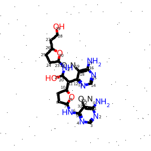 Nc1ncnc(NC2CCC(C(c3ncnc(N)c3[N+](=O)[O-])C(O)NC3CCC(CCO)O3)O2)c1[N+](=O)[O-]